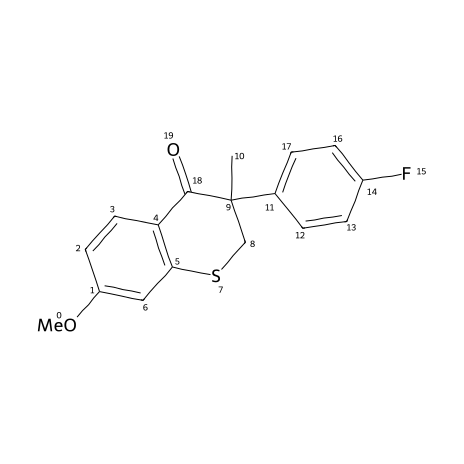 COc1ccc2c(c1)SCC(C)(c1ccc(F)cc1)C2=O